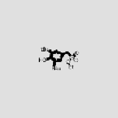 CCOS(=O)(=O)Cc1cc(C(C)(C)C)c(O)c(C(C)(C)C)c1